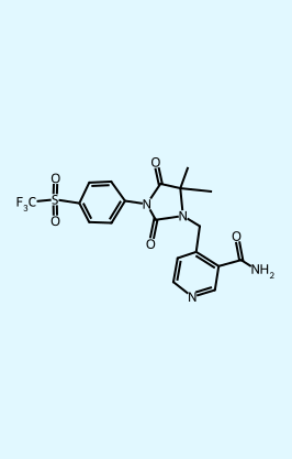 CC1(C)C(=O)N(c2ccc(S(=O)(=O)C(F)(F)F)cc2)C(=O)N1Cc1ccncc1C(N)=O